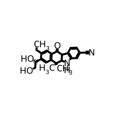 CCc1cc2c(cc1[C@@H](O)CO)C(C)(C)C1Nc3cc(C#N)ccc3C1C2=O